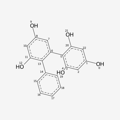 Oc1cc(O)c(-c2cc(O)cc(O)c2-c2ccccc2)c(O)c1